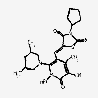 CCCn1c(N2CC(C)CC(C)C2)c(/C=C2\SC(=S)N(C3CCCC3)C2=O)c(C)c(C#N)c1=O